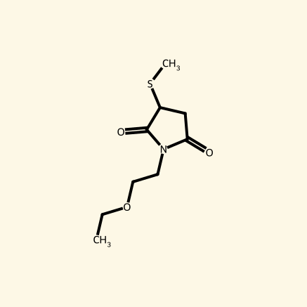 CCOCCN1C(=O)CC(SC)C1=O